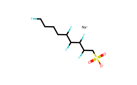 O=S(=O)([O-])CC(F)C(F)C(F)C(F)CCCCF.[Na+]